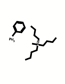 CCCC[PH](C)(CCCC)CCCC.Cc1ccccc1.P